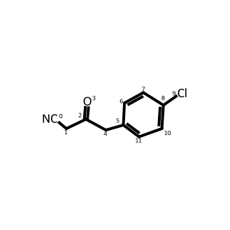 N#CCC(=O)Cc1ccc(Cl)cc1